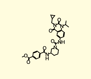 COC(=O)c1ccc(C(=O)NC2CCCN(C(=O)Nc3ccc4c(c3)c(=O)n(CC3CC3)c(=O)n4C(C)C)C2)cc1